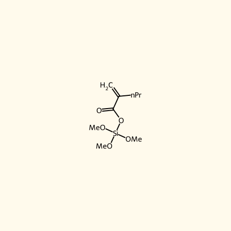 C=C(CCC)C(=O)O[Si](OC)(OC)OC